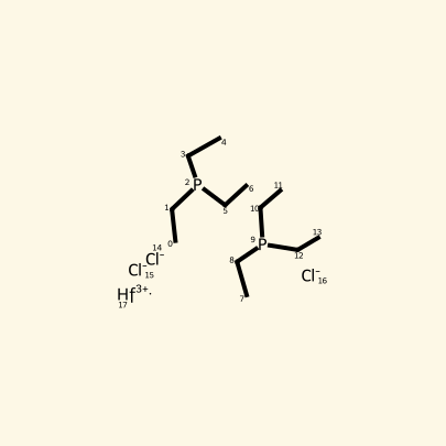 CCP(CC)CC.CCP(CC)CC.[Cl-].[Cl-].[Cl-].[Hf+3]